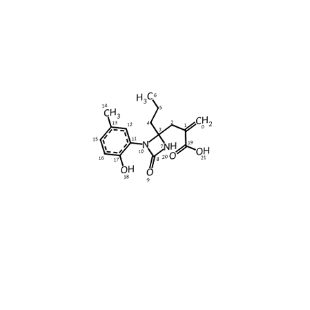 C=C(CC1(CCC)NC(=O)N1c1cc(C)ccc1O)C(=O)O